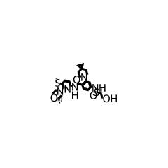 CSc1ccc(NC(=O)c2ccc(N[S+]([O-])CCO)cc2N2CCC3(CC2)CC3)nc1N1CCO[C@H](C)C1